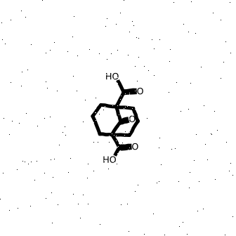 O=C(O)C12CCCC(C(=O)O)(CCC1)C2=O